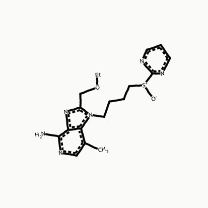 CCOCc1nc2c(N)ncc(C)c2n1CCCC[S+]([O-])c1ncccn1